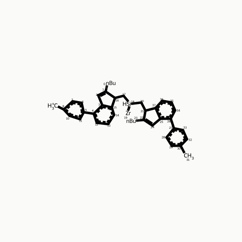 CCCCC1=Cc2c(-c3ccc(C)cc3)cccc2C1C[SiH]([Zr])CC1C(CCCC)=Cc2c(-c3ccc(C)cc3)cccc21